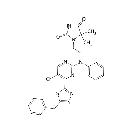 CC1(C)C(=O)NC(=O)N1CCN(c1ccccc1)c1ncc(Cl)c(-c2nnc(Cc3ccccc3)s2)n1